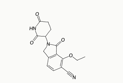 CCOc1c(C#N)ccc2c1C(=O)N(C1CCC(=O)NC1=O)C2